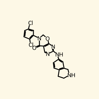 O=C1c2cnc(Nc3ccc4c(c3)CNCC4)nc2OCN1c1cc(Cl)ccc1Cl